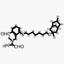 CCCC(C=O)N(C)Cc1c(C=O)cccc1SCCCCCCCOC1(C)CC2CC(C)CC(C2)C1